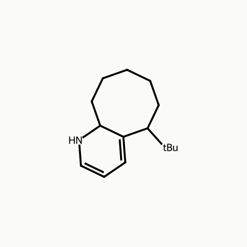 CC(C)(C)C1CCCCCC2NC=CC=C21